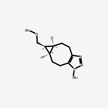 CC(C)(C)OC[C@@H]1[C@@H]2CCc3c(nnn3C(C)(C)C)CC[C@@H]21